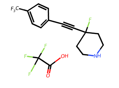 FC1(C#Cc2ccc(C(F)(F)F)cc2)CCNCC1.O=C(O)C(F)(F)F